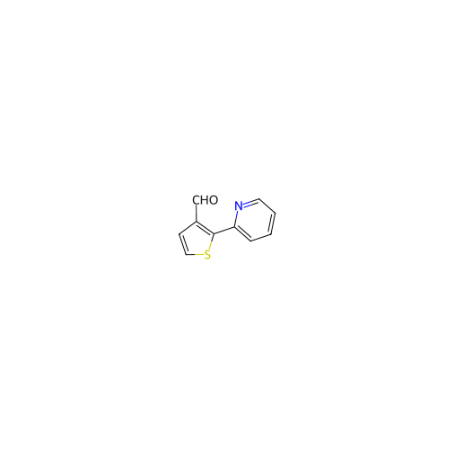 O=Cc1ccsc1-c1ccccn1